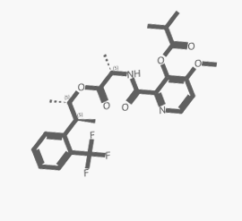 COc1ccnc(C(=O)N[C@@H](C)C(=O)O[C@@H](C)[C@@H](C)c2ccccc2C(F)(F)F)c1OC(=O)C(C)C